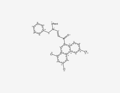 CCCCCN(C=CC(=O)c1cc2c(Cl)cc(Cl)cc2c2cc(C(F)(F)F)ccc12)Cc1ccccc1